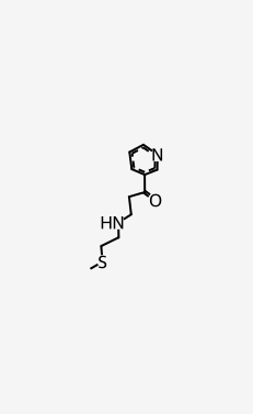 CSCCNCCC(=O)c1cccnc1